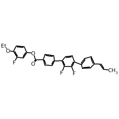 C/C=C/c1ccc(-c2ccc(-c3ccc(C(=O)Oc4ccc(OCC)c(F)c4)cc3)c(F)c2F)cc1